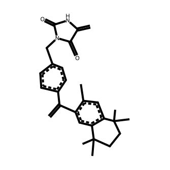 C=C1NC(=O)N(Cc2ccc(C(=C)c3cc4c(cc3C)C(C)(C)CCC4(C)C)cc2)C1=O